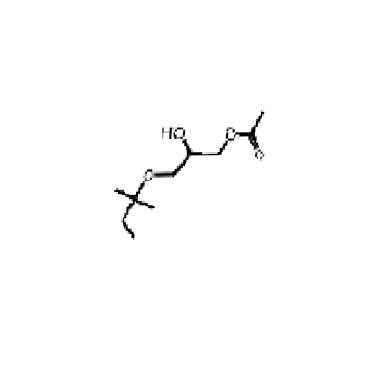 CCC(C)(C)OCC(O)COC(C)=O